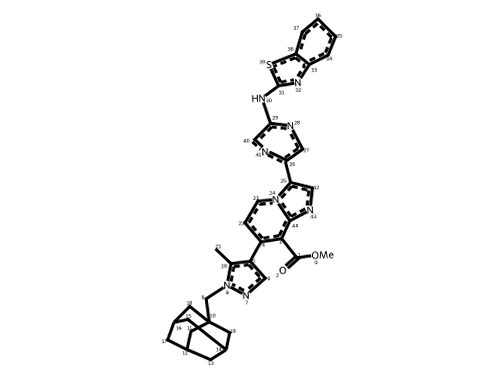 COC(=O)c1c(-c2cnn(CC34CC5CC(CC(C5)C3)C4)c2C)ccn2c(-c3cnc(Nc4nc5ccccc5s4)cn3)cnc12